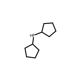 C1CCC(PC2CCCC2)C1